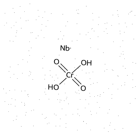 [Nb].[O]=[Cr](=[O])([OH])[OH]